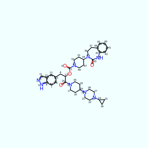 O=C(OC(Cc1ccc2[nH]ncc2c1)C(=O)N1CCC(N2CCN(C3CC3)CC2)CC1)N1CCC(N2CCc3ccccc3NC2=O)CC1